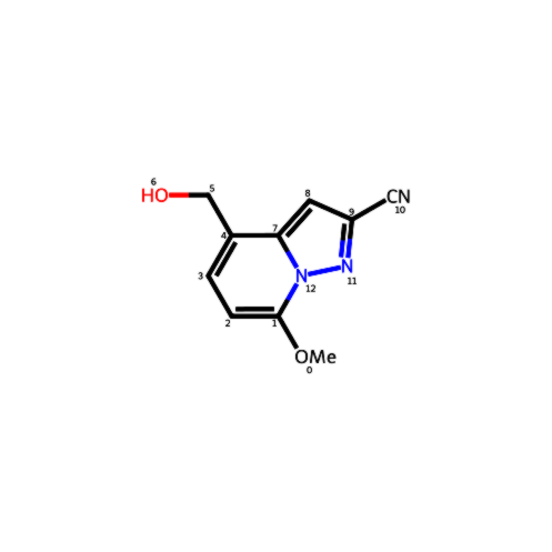 COc1ccc(CO)c2cc(C#N)nn12